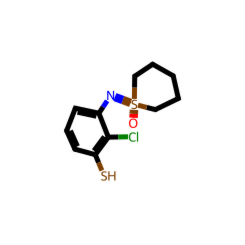 O=S1(=Nc2cccc(S)c2Cl)CCCCC1